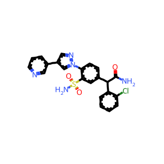 NC(=O)C(c1ccc(-n2cc(-c3cccnc3)cn2)c(S(N)(=O)=O)c1)c1ccccc1Cl